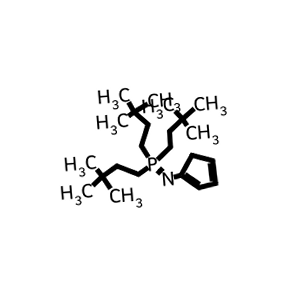 CC(C)(C)CCP(CCC(C)(C)C)(CCC(C)(C)C)=NC1=CC=CC1